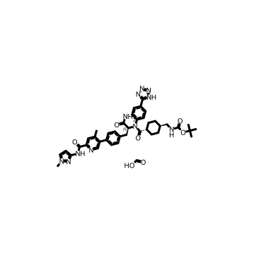 Cc1cc(C(=O)Nc2ccn(C)n2)ncc1-c1ccc(C[C@@H](C(N)=O)N(c2ccc(-c3nnn[nH]3)cc2)C(=O)[C@H]2CC[C@H](CNC(=O)OC(C)(C)C)CC2)cc1.O=CO